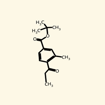 CCC(=O)c1ccc(C(=O)OC(C)(C)C)cc1C